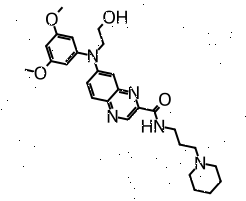 COc1cc(OC)cc(N(CCO)c2ccc3ncc(C(=O)NCCCN4CCCCC4)nc3c2)c1